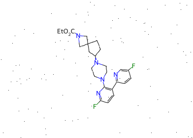 CCOC(=O)N1CC2(CC[C@@H](N3CCN(c4nc(F)ccc4-c4ccc(F)cn4)CC3)C2)C1